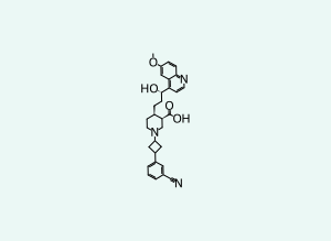 COc1ccc2nccc([C@@H](O)CC[C@@H]3CCN(C4CC(c5cccc(C#N)c5)C4)C[C@@H]3C(=O)O)c2c1